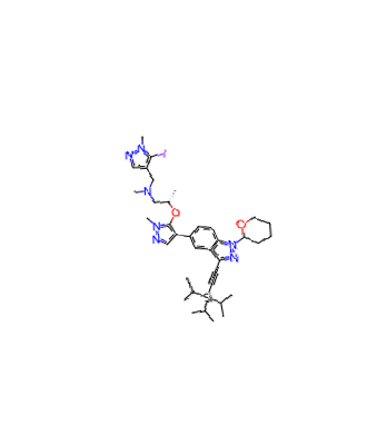 CC(C)[Si](C#Cc1nn(C2CCCCO2)c2ccc(-c3cnn(C)c3O[C@@H](C)CN(C)Cc3cnn(C)c3I)cc12)(C(C)C)C(C)C